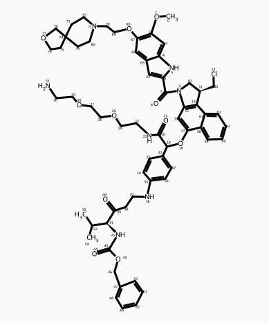 COc1cc2[nH]c(C(=O)N3C[C@@H](CCl)c4c3cc(OC(C(=O)NCCOCCOCCN)c3ccc(NCCC(=O)[C@@H](NC(=O)OCc5ccccc5)C(C)C)cc3)c3ccccc43)cc2cc1OCCN1CCC2(CCOC2)CC1